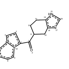 O=C(c1ccc2ccccn12)C1CCc2[nH]cnc2C1